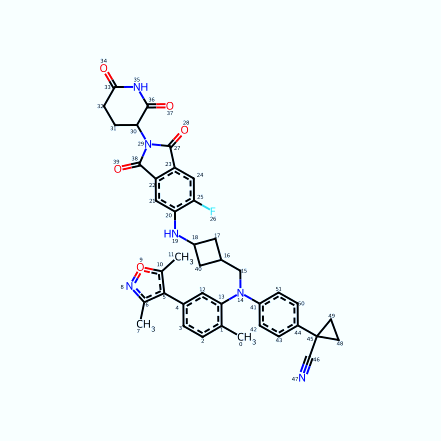 Cc1ccc(-c2c(C)noc2C)cc1N(CC1CC(Nc2cc3c(cc2F)C(=O)N(C2CCC(=O)NC2=O)C3=O)C1)c1ccc(C2(C#N)CC2)cc1